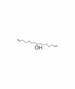 C=CCCCCCC(O)CCCCCC=C